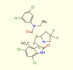 CC(C)(C)CN(C(=O)[C@@H]1C2CC(F)(F)CN2[C@@]2(C(=O)Nc3c(Cl)cc(Cl)cc32)[C@@H]1C(=O)O)c1cc(Cl)cc(Cl)c1